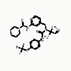 CC(C)(C=O)N(Cc1ccnc(NC(=O)N2CCCCC2)c1)C(=O)Nc1ccc(SC(F)(F)F)cc1